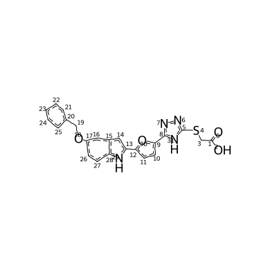 O=C(O)CSc1nnc(-c2ccc(-c3cc4cc(OCc5ccccc5)ccc4[nH]3)o2)[nH]1